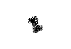 COc1cccc2cc3ccc(-c4ccc5cc6ccccc6c(B6Oc7ccccc7O6)c5c4)c(OC)c3c(B3Oc4ccccc4O3)c12